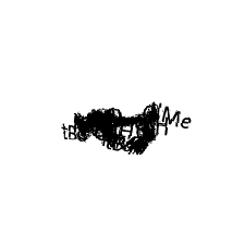 CN[C@@H](C)C(=O)N[C@H](C(=O)N1CCC[C@H]1Cn1nnnc1SC(C)(C)C)[C@@H](C)OCC#CC#CCO[C@H](C)[C@H](NC(=O)[C@H](C)NC)C(=O)N1CCC[C@H]1Cn1nnnc1SC(C)(C)C